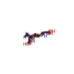 Cc1c(COc2ccc(CNCC(O)CC(=O)O)cc2)cccc1-c1cccc(COc2cc(OCc3cncc(C#N)c3)c(CNCC(O)CC(=O)O)cc2Cl)c1C